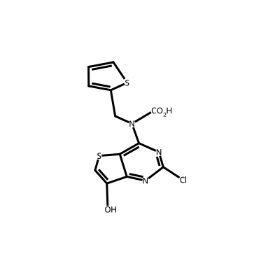 O=C(O)N(Cc1cccs1)c1nc(Cl)nc2c(O)csc12